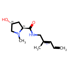 C=C/C=C(\C)CNC(=O)[C@@H]1C[C@@H](O)CN1C